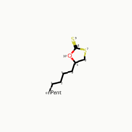 CCCCCCCCCC1CSC(=S)O1